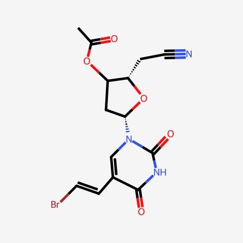 CC(=O)OC1C[C@@H](n2cc(/C=C/Br)c(=O)[nH]c2=O)O[C@H]1CC#N